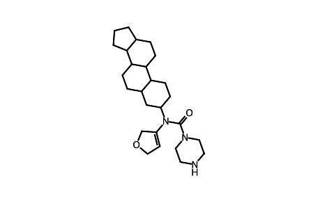 O=C(N1CCNCC1)N(C1=CCOC1)C1CCC2C(CCC3C4CCCC4CCC23)C1